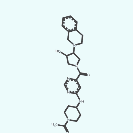 CC(=O)N1CCC(Nc2cc(C(=O)N3CC(O)C(N4CCc5ccccc5C4)C3)ncn2)CC1